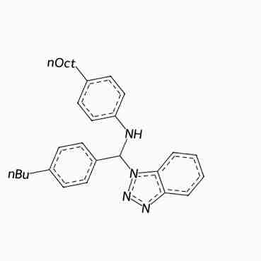 CCCCCCCCc1ccc(NC(c2ccc(CCCC)cc2)n2nnc3ccccc32)cc1